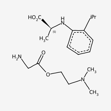 CC(C)c1ccccc1N[C@@H](C)C(=O)O.CN(C)CCOC(=O)CN